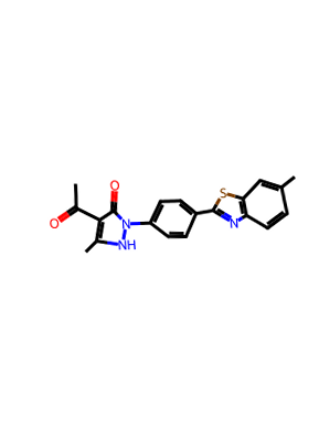 CC(=O)c1c(C)[nH]n(-c2ccc(-c3nc4ccc(C)cc4s3)cc2)c1=O